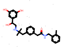 Cc1ccccc1CNC(=O)Cc1cccc(CC(C)(C)NCC(O)c2cc(O)cc(O)c2)c1